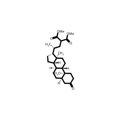 COC(=O)C(C[C@@H](C)[C@H]1CC[C@H]2[C@@H]3CC[C@@H]4CC(=O)CC[C@]4(C)[C@H]3CC[C@]12C)C(=O)OC